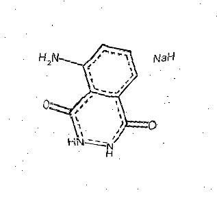 Nc1cccc2c(=O)[nH][nH]c(=O)c12.[NaH]